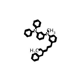 C=C/C(=C\C=C\c1cccc(N(C)c2cccc(N(c3ccccc3)c3ccccc3)c2)c1)Cc1ccccc1